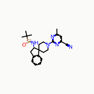 Cc1cc(C#N)nc(N2CCC3(CC2)c2ccccc2C[C@H]3N[S@+]([O-])C(C)(C)C)n1